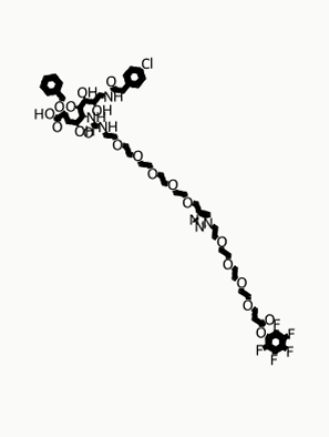 O=C(Cc1ccc(Cl)cc1)NC[C@@H](O)[C@@H](O)[C@@H]1O[C@@](OCc2ccccc2)(C(=O)O)C[C@H](O)[C@H]1NC(=O)NCCOCCOCCOCCOCCOCc1cn(CCOCCOCCOCCOCCC(=O)Oc2c(F)c(F)c(F)c(F)c2F)nn1